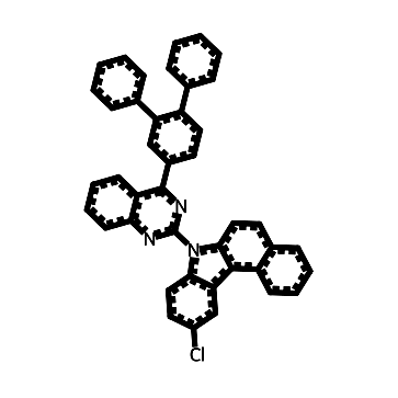 Clc1ccc2c(c1)c1c3ccccc3ccc1n2-c1nc(-c2ccc(-c3ccccc3)c(-c3ccccc3)c2)c2ccccc2n1